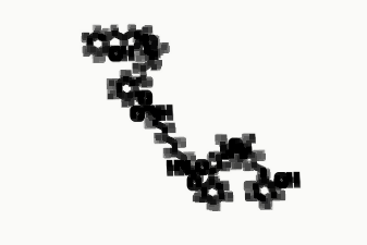 C[Si](C)(CCCc1ccccc1O)O[Si](C)(C)CCCc1ccccc1OC(=O)NCCCCCCNC(=O)Oc1ccccc1CCC[Si](C)(C)O[Si](C)(C)CCCc1ccccc1O